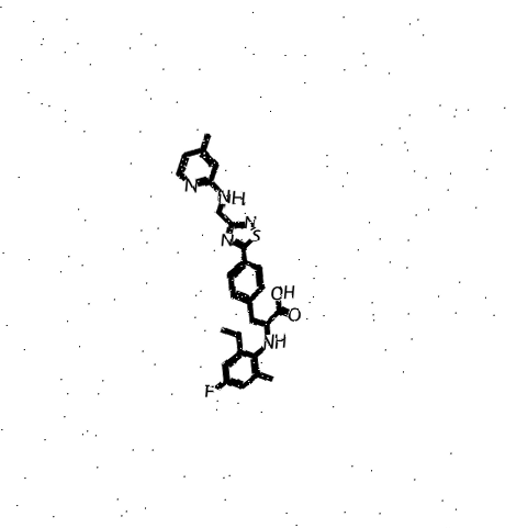 CCc1cc(F)cc(C)c1NC(Cc1ccc(-c2nc(CNc3cc(C)ccn3)ns2)cc1)C(=O)O